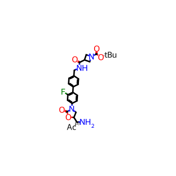 CC(=O)[C@@H](N)C1CN(c2ccc(-c3ccc(CNC(=O)C4CN(C(=O)OC(C)(C)C)C4)cc3)c(F)c2)C(=O)O1